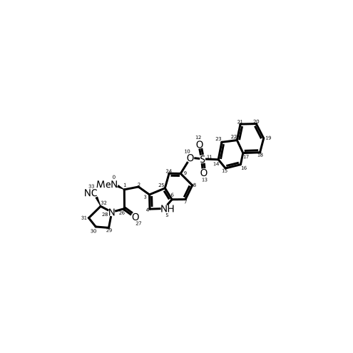 CN[C@@H](Cc1c[nH]c2ccc(OS(=O)(=O)c3ccc4ccccc4c3)cc12)C(=O)N1CCC[C@H]1C#N